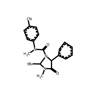 CN(C(=O)N1C(c2ccccc2)C(=O)N(C)C1C(C)(C)C)c1ccc(C#N)cc1